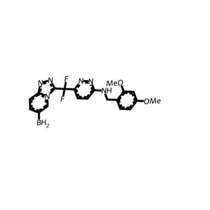 Bc1ccc2nnc(C(F)(F)c3ccc(NCc4ccc(OC)cc4OC)nn3)n2c1